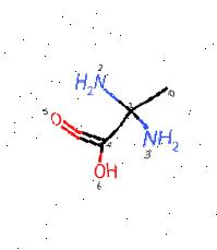 CC(N)(N)C(=O)O